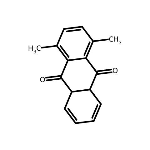 Cc1ccc(C)c2c1C(=O)C1C=CC=CC1C2=O